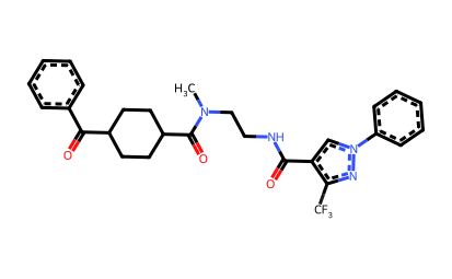 CN(CCNC(=O)c1cn(-c2ccccc2)nc1C(F)(F)F)C(=O)C1CCC(C(=O)c2ccccc2)CC1